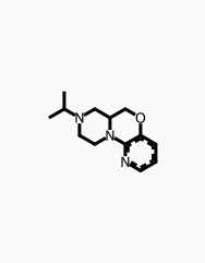 CC(C)N1CCN2c3ncccc3OCC2C1